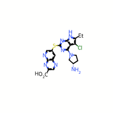 CCc1[nH]c2nc(Sc3cnc4nc(C(=O)O)cnc4c3)nc(N3CC[C@H](N)C3)c2c1Cl